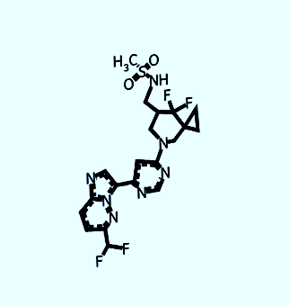 CS(=O)(=O)NCC1CN(c2cc(-c3cnc4ccc(C(F)F)nn34)ncn2)CC2(CC2)C1(F)F